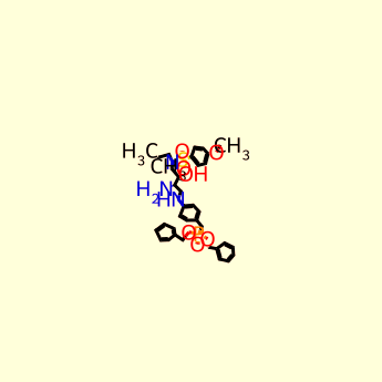 COc1ccc(S(=O)(=O)N(CC(C)C)C[C@@H](O)[C@@H](N)CNc2ccc(CP(=O)(OCc3ccccc3)OCc3ccccc3)cc2)cc1